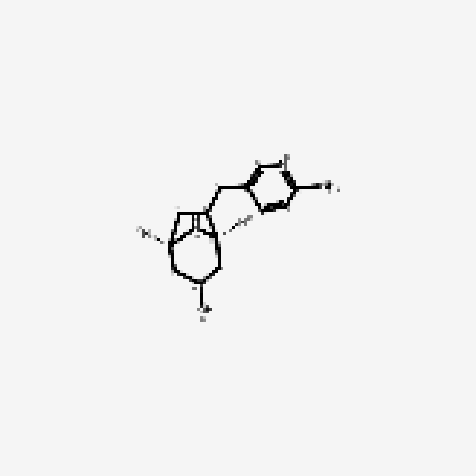 Nc1ccc(CC2C[C@@H]3C[C@H](O)C[C@H]2N3)cn1